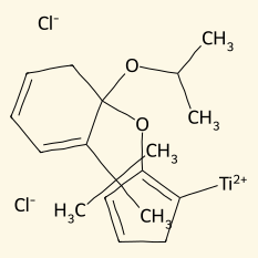 CC(C)OC1(OC2=[C]([Ti+2])CC=C2)CC=CC=C1C(C)(C)C.[Cl-].[Cl-]